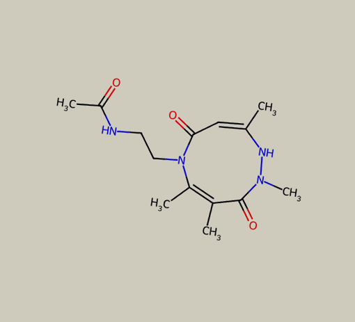 CC(=O)NCCn1c(C)c(C)c(=O)n(C)[nH]c(C)cc1=O